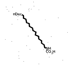 CCCCCCCCCCCCCCCCCCCCCCCCCCNC(=O)O